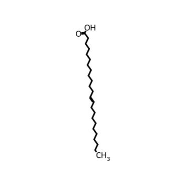 CCCCCCCCCCC=CCCCCCCCCCCCC(=O)O